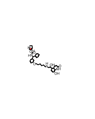 O=C(NC(c1ccccc1)c1cccc(OCCCCCCNC[C@H](O)c2ccc(O)c3[nH]c(=O)ccc23)c1)O[C@H]1CN2CCC1CC2